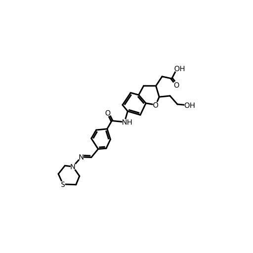 O=C(O)CC1Cc2ccc(NC(=O)c3ccc(C=NN4CCSCC4)cc3)cc2OC1CCO